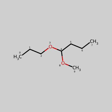 CCCOC(CCC)OC